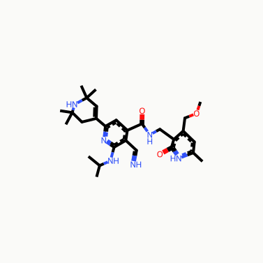 COCc1cc(C)[nH]c(=O)c1CNC(=O)c1cc(C2=CC(C)(C)NC(C)(C)C2)nc(NC(C)C)c1C=N